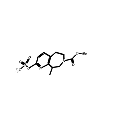 CC1CN(C(=O)OC(C)(C)C)CCc2ccc(OS(=O)(=O)C(F)(F)F)nc21